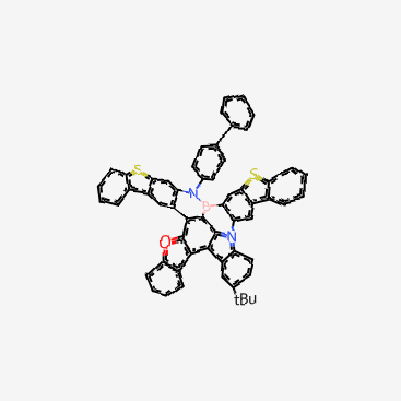 CC(C)(C)c1ccc2c(c1)c1c3c(oc4ccccc43)c3c4c1n2-c1cc2c(cc1B4N(c1ccc(-c4ccccc4)cc1)c1cc4sc5ccccc5c4cc1-3)sc1ccccc12